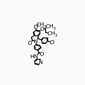 CCC(C)Oc1cc2c(cc1OC)CC(=O)N(c1ccc(C(=O)Nc3cccnc3)cc1)C2c1ccc(Cl)cc1